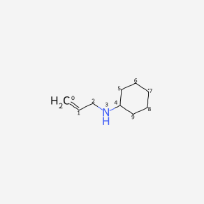 C=CCNC1CC[CH]CC1